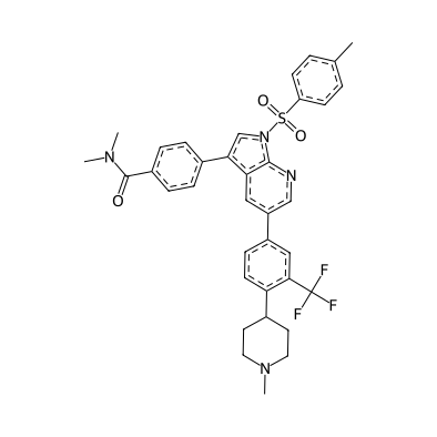 Cc1ccc(S(=O)(=O)n2cc(-c3ccc(C(=O)N(C)C)cc3)c3cc(-c4ccc(C5CCN(C)CC5)c(C(F)(F)F)c4)cnc32)cc1